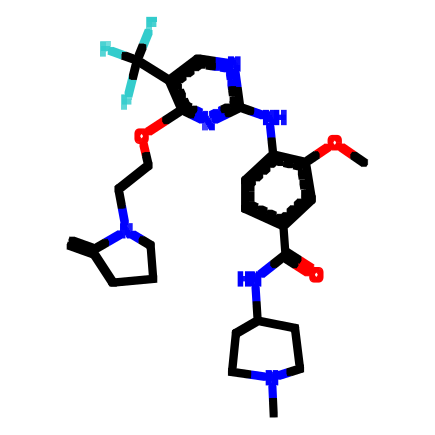 C=C1CCCN1CCOc1nc(Nc2ccc(C(=O)NC3CCN(C)CC3)cc2OC)ncc1C(F)(F)F